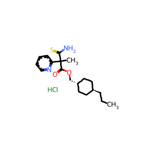 CCC[C@H]1CC[C@H](COC(=O)C(C)(C(N)=S)c2ccccn2)CC1.Cl